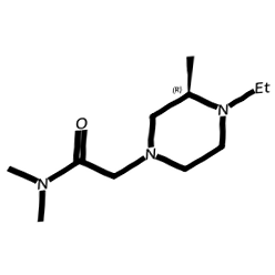 CCN1CCN(CC(=O)N(C)C)C[C@H]1C